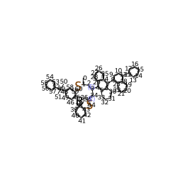 CC1/C=C(c2c3c(c(-c4ccc(-c5ccccc5)c5ccccc45)c4ccccc24)C=CCC3)\C=C2/CB(c3ccccc3S2)c2ccc(C(C)(C)c3ccccc3)cc2S1